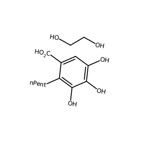 CCCCCc1c(C(=O)O)cc(O)c(O)c1O.OCCO